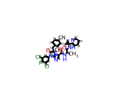 C[C@H](NC(=O)c1cnc2n1[C@](C)(Cc1ccc(C#N)cc1)C(=O)N2c1cc(Cl)c(F)c(Cl)c1)C(=O)NC1(c2ccccn2)CC1